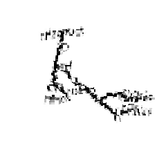 CCCCCCCCC(CCCCCC)COC(=O)CCCCCC(CCCCCC(=O)OCC(CCCCCC)CCCCCCCC)NCCCOCCOCCOCCCN(CCCCCC(=O)OCC(CCCCCC)CCCCCCCC)CCCCCC(=O)OCC(CCCCCC)CCCCCCCC